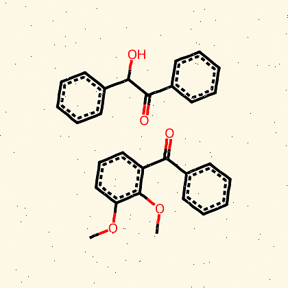 COc1cccc(C(=O)c2ccccc2)c1OC.O=C(c1ccccc1)C(O)c1ccccc1